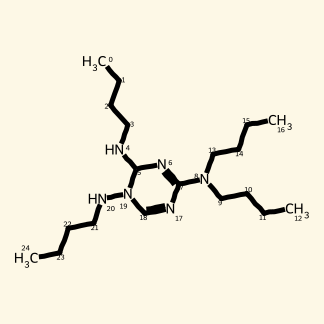 CCCCNC1N=C(N(CCCC)CCCC)N=CN1NCCCC